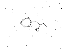 CCC([O])Cc1[c]cccc1